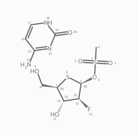 CS(=O)(=O)O[C@@H]1S[C@H](CO)[C@@H](O)[C@@H]1F.Nc1cc[nH]c(=O)n1